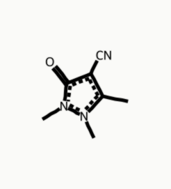 Cc1c(C#N)c(=O)n(C)n1C